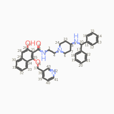 O=C(NCCN1CCC(NC(c2ccccc2)c2ccccc2)CC1)c1c(O)cc2ccccc2c1OCc1cccnc1